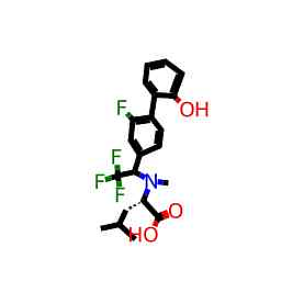 CC(C)C[C@@H](C(=O)O)N(C)C(c1ccc(-c2ccccc2O)c(F)c1)C(F)(F)F